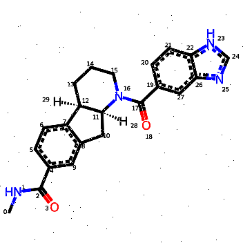 CNC(=O)c1ccc2c(c1)C[C@H]1[C@@H]2CCCN1C(=O)c1ccc2[nH]cnc2c1